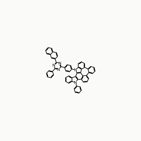 c1ccc(-c2nc(-c3ccc(-n4c5cccc6c5c5c7c(cccc7c7c(c8ccccc8n7-c7ccccc7)c54)-c4ccccc4-6)cc3)nc(-c3ccc4ccccc4c3)n2)cc1